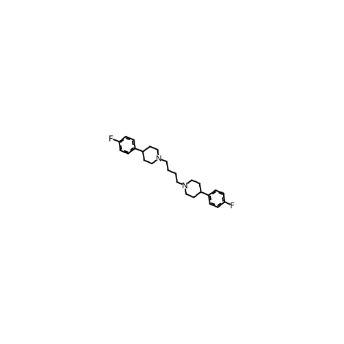 Fc1ccc(C2CCN(CCCCN3CCC(c4ccc(F)cc4)CC3)CC2)cc1